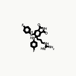 N=C(N)NCCCC1(Nc2ccc(F)cc2)C=C2C(=O)NC(=O)C2C=C1Nc1ccc(F)cc1